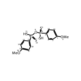 COc1ccc(P(=S)(S)OP(=S)(S)c2ccc(OC)cc2)cc1